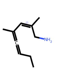 CCC=C=C(C)/C=C(/C)CN